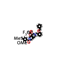 COc1cc(SC)ccc1C(=O)N1CCC2(CCN(Cc3ccccc3OCc3ccccc3)CC2OC(=O)C(F)(F)F)CC1